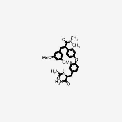 COc1cc(C=C(C(=O)N(C)C)c2ccc(Oc3ccc(CC(NC(N)=O)C(N)=O)cc3)cc2)cc(OC)c1